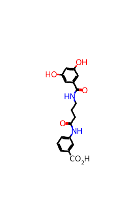 O=C(CCCNC(=O)c1cc(O)cc(O)c1)Nc1cccc(C(=O)O)c1